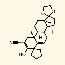 C[C@]12CC(C#N)=C(O)C3(CCCC3)C1=CCC1[C@@H]2CC[C@@]2(C)[C@H]1CCC21OCCO1